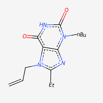 C=CCn1c(CC)nc2c1c(=O)[nH]c(=O)n2CCCC